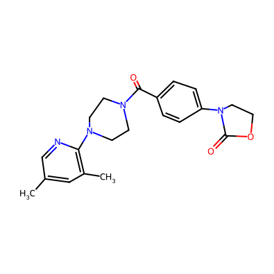 Cc1cnc(N2CCN(C(=O)c3ccc(N4CCOC4=O)cc3)CC2)c(C)c1